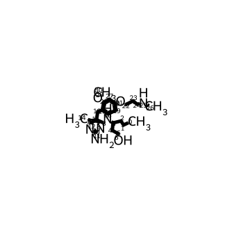 CCCC(CCO)Nc1nc(N)nc(C)c1Cc1ccc(OCCCNC)cc1OC